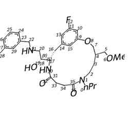 CCCN1CCC(COC)COc2cc(F)cc(c2)C[C@@H]([C@H](O)CNCc2cccc(CC)c2)NC(=O)CCC1=O